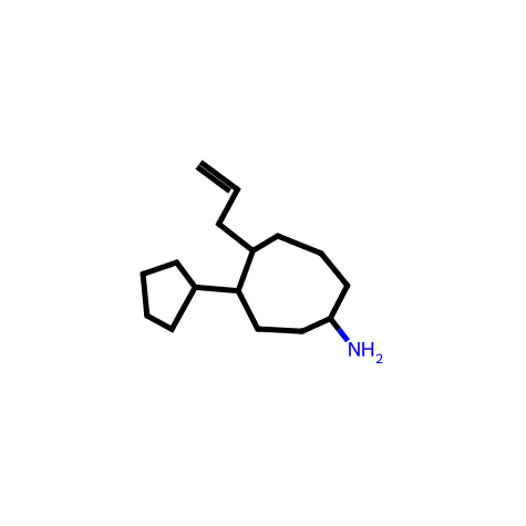 C=CCC1CCCC(N)CCC1C1CCCC1